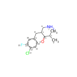 CC(C)C(=O)C(CN)Cc1ccc(Cl)c(F)c1